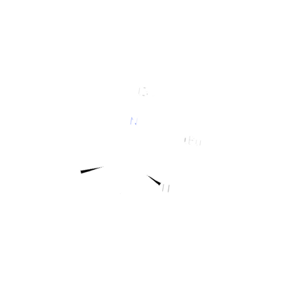 CC(C)(C)[C@@H]1[C@@H]2C[C@]2(C)CN1C(C)(C)C